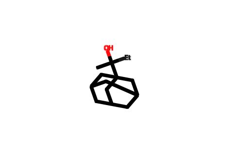 CCC(C)(O)C12CC3CC(CC(C3)C1)C2